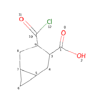 O=C(O)C1CC2CC2CC1C(=O)Cl